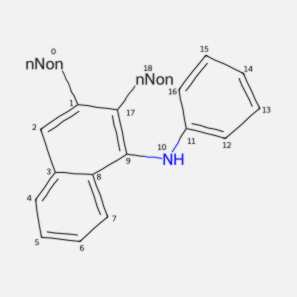 CCCCCCCCCc1cc2ccccc2c(Nc2ccccc2)c1CCCCCCCCC